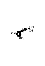 OC(O)O[SiH2]CCCc1cc(C(F)(F)F)cc(C(F)(F)F)c1